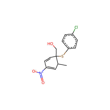 CC1C=C([N+](=O)[O-])C=CC1(CO)Sc1ccc(Cl)cc1